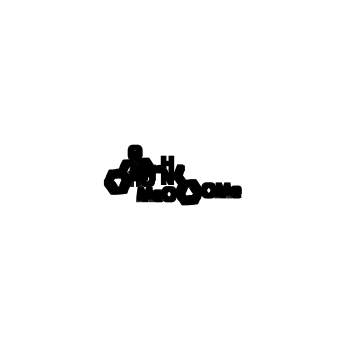 COc1ccc(OC)c(C(C)NCC(O)CP(=O)(O)Cc2ccccc2)c1